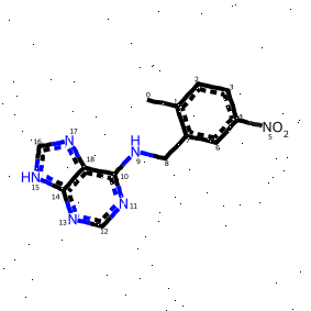 Cc1ccc([N+](=O)[O-])cc1CNc1ncnc2[nH]cnc12